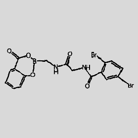 O=C(CNC(=O)c1cc(Br)ccc1Br)NCB1OC(=O)c2ccccc2O1